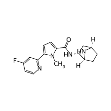 Cn1c(C(=O)N[C@@H]2C[C@H]3CC[C@@H]2N3)ccc1-c1cc(F)ccn1